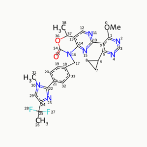 COc1ncnc(C2CC2)c1-c1ncc2c(n1)N(Cc1ccc(-c3nc(C(C)(F)F)cn3C)cc1)C(=O)OC2C